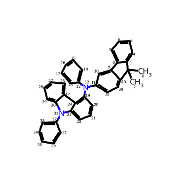 CC1(C)c2ccccc2-c2cc(N(c3ccccc3)c3cccc4c3c3ccccc3n4-c3ccccc3)ccc21